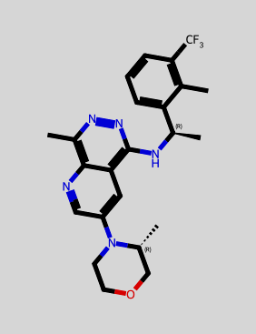 Cc1c([C@@H](C)Nc2nnc(C)c3ncc(N4CCOC[C@H]4C)cc23)cccc1C(F)(F)F